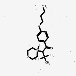 CCCCOc1ccc(C(=O)C(C(C)(C)C)S2(I)CCOCC2)cc1